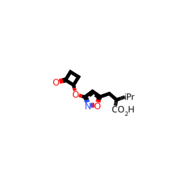 CC(C)C(Cc1cc(OC2CCC2=O)no1)C(=O)O